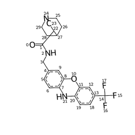 O=C(NCc1ccc2c(c1)Oc1cc(C(F)(F)F)ccc1N2)C1CN2CCC1CC2